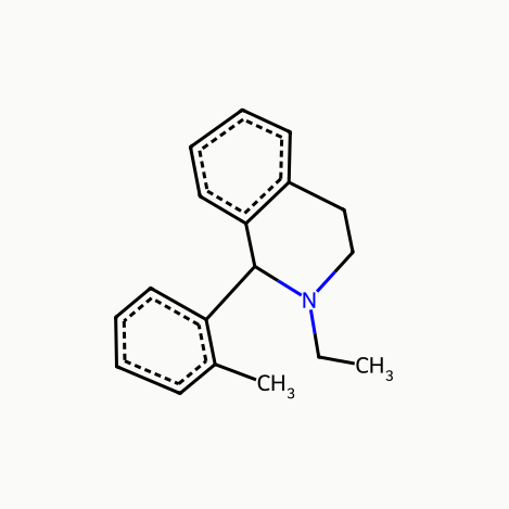 CCN1CCc2ccccc2C1c1ccccc1C